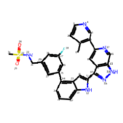 Cc1ccncc1-c1cc2c(-c3cc4c(-c5cc(F)cc(CNS(C)(=O)=O)c5)cccc4[nH]3)n[nH]c2cn1